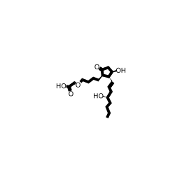 CCCC[C@H](O)CC=C[C@H]1[C@H](O)CC(=O)[C@@H]1CCCCOCC(=O)O